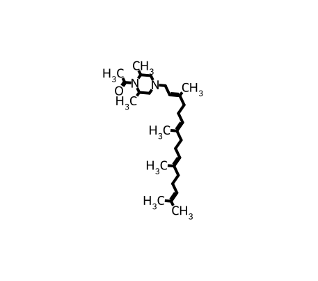 CC(=O)N1C(C)CN(C/C=C(\C)CC/C=C(\C)CC/C=C(\C)CCC=C(C)C)CC1C